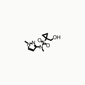 CN(c1ccn(C)n1)S(=O)(=O)C1(CO)CC1